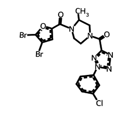 CC1CN(C(=O)c2nnn(-c3cccc(Cl)c3)n2)CCN1C(=O)c1cc(Br)c(Br)o1